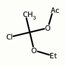 CCOC(C)(Cl)OC(C)=O